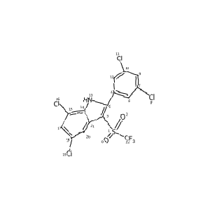 O=S(=O)(c1c(-c2cc(Cl)cc(Cl)c2)[nH]c2c(Cl)cc(Cl)cc12)C(F)(F)F